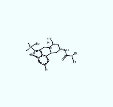 CCCN1C[C@@H](NC(=O)N(CC)CC)CC2c3cc(Br)cc4[nH]c([Si](C)(C)C(C)(C)C)c(c34)C[C@H]21